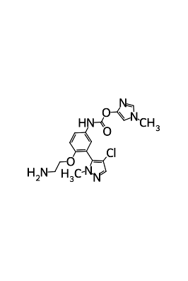 Cn1cnc(OC(=O)Nc2ccc(OCCN)c(-c3c(Cl)cnn3C)c2)c1